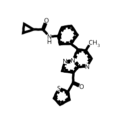 Cc1cnc2c(C(=O)c3cccs3)cnn2c1-c1cccc(NC(=O)C2CC2)c1